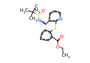 CCOC(=O)c1ccccc1Sc1ncccc1/C=N\[S+]([O-])C(C)(C)C